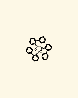 c1ccc(-c2ccccc2B2OB(c3ccccc3-c3ccccc3)OB(c3ccccc3-c3ccccc3)O2)cc1